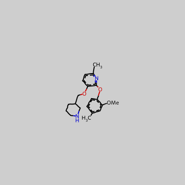 COc1cc(C)ccc1Oc1nc(C)ccc1OCC1CCCNC1